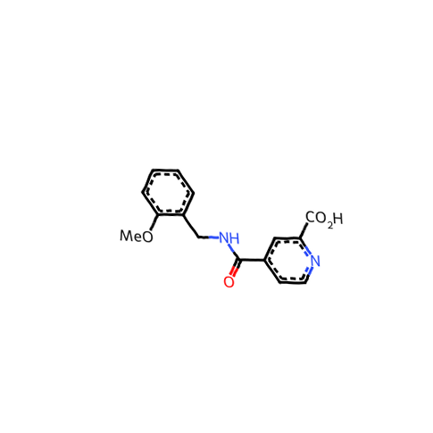 COc1ccccc1CNC(=O)c1ccnc(C(=O)O)c1